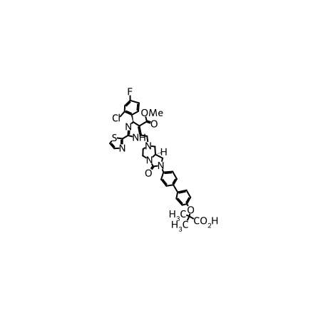 COC(=O)C1=C(CN2CCN3C(=O)N(c4ccc(-c5ccc(OC(C)(C)C(=O)O)cc5)cc4)C[C@@H]3C2)NC(c2nccs2)=N[C@H]1c1ccc(F)cc1Cl